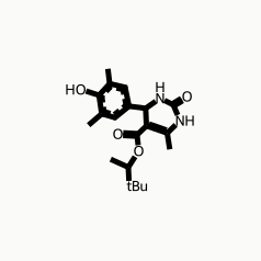 CC1=C(C(=O)OC(C)C(C)(C)C)C(c2cc(C)c(O)c(C)c2)NC(=O)N1